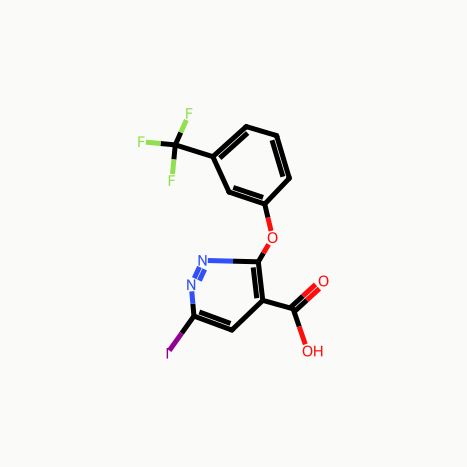 O=C(O)c1cc(I)nnc1Oc1cccc(C(F)(F)F)c1